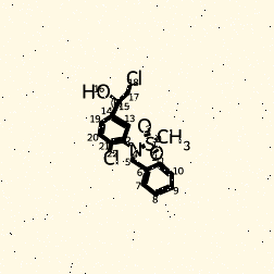 CS(=O)(=O)N(Cc1ccccc1)c1cc([C@@H](O)CCl)ccc1Cl